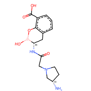 N[C@H]1CCN(CC(=O)N[C@H]2Cc3cccc(C(=O)O)c3OB2O)C1